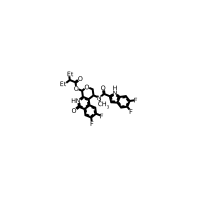 CCC(CC)C(=O)OC1OCC(N(C)C(=O)c2cc3cc(F)c(F)cc3[nH]2)c2c1[nH]c(=O)c1cc(F)c(F)cc21